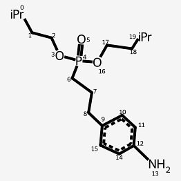 CC(C)CCOP(=O)(CCCc1ccc(N)cc1)OCCC(C)C